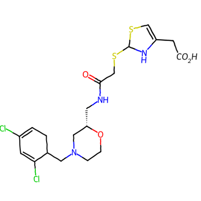 O=C(O)CC1=CSC(SCC(=O)NC[C@H]2CN(CC3CC=C(Cl)C=C3Cl)CCO2)N1